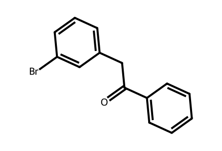 O=C(Cc1cccc(Br)c1)c1ccccc1